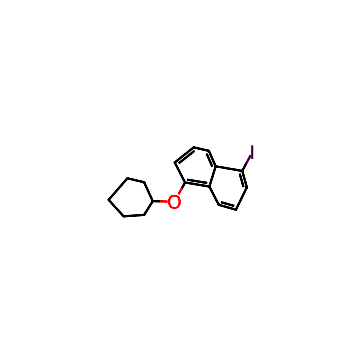 Ic1cccc2c(OC3CCCCC3)cccc12